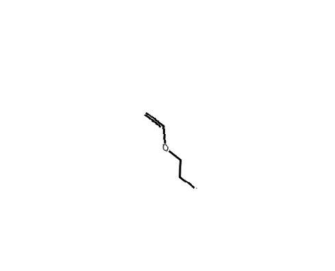 [CH2]CCOC=C